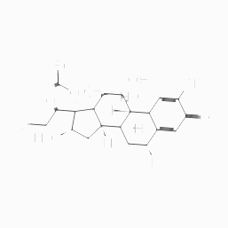 CCC(=O)O[C@@]1(C(=O)CCl)[C@H](C)C[C@H]2[C@@H]3C[C@H](F)C4=CC(=O)C(Cl)=C[C@]4(C)[C@@]3(Cl)[C@@H](O)C[C@@]21C